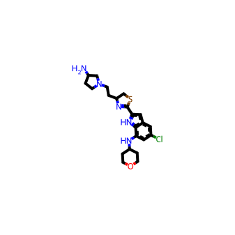 NC1CCN(CCC2CSC(c3cc4cc(Cl)cc(NC5CCOCC5)c4[nH]3)=N2)C1